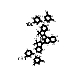 CCCCc1cccc(N(c2cc(C)cc(C)c2)c2ccc3c(c2)C(C)(C)c2c-3c3cc4ccccc4c4c5c(n2c34)C(C)(C)c2cc(N(c3cc(C)cc(C)c3)c3cccc(CCCC)c3)ccc2-5)c1